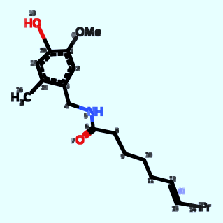 COc1cc(CNC(=O)CCCC/C=C/C(C)C)c(C)cc1O